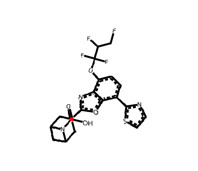 O=C(O)N1C2CC1CN(c1nc3c(OC(F)(F)C(F)CF)ccc(-c4nccs4)c3o1)C2